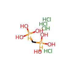 Cl.Cl.Cl.Cl.O[PH](O)(O)C[PH](O)(O)O